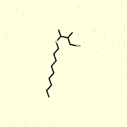 CCCCCCCCCOC(C)C(C)CO